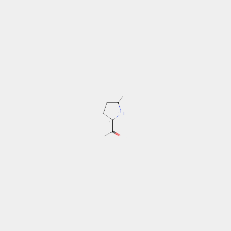 CC1CCC(C(=O)C(C)C)N1